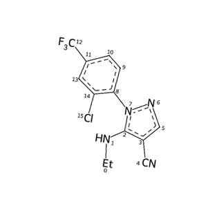 CCNc1c(C#N)cnn1-c1ccc(C(F)(F)F)cc1Cl